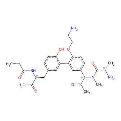 CCC(=O)N[C@@H](Cc1ccc(O)c(-c2cc([C@@H](C(C)=O)N(C)C(=O)[C@H](C)N)ccc2OCCN)c1)C(C)=O